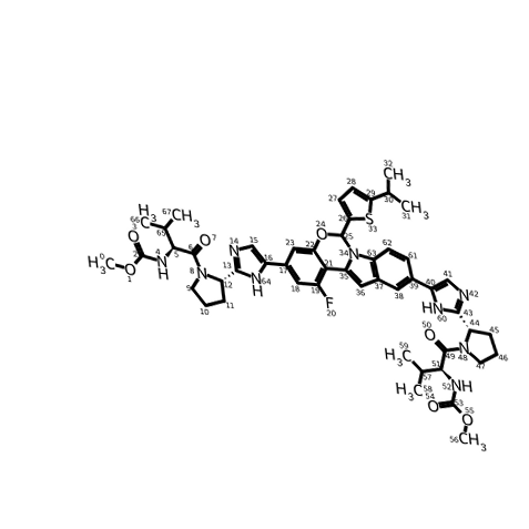 COC(=O)N[C@H](C(=O)N1CCC[C@H]1c1ncc(-c2cc(F)c3c(c2)OC(c2ccc(C(C)C)s2)n2c-3cc3cc(-c4cnc([C@@H]5CCCN5C(=O)[C@@H](NC(=O)OC)C(C)C)[nH]4)ccc32)[nH]1)C(C)C